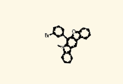 Cn1c2ccccc2c2cc3c(oc4ccccc43)c(-c3cccc(Br)c3)c21